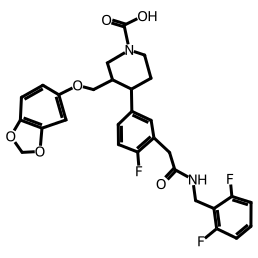 O=C(Cc1cc(C2CCN(C(=O)O)CC2COc2ccc3c(c2)OCO3)ccc1F)NCc1c(F)cccc1F